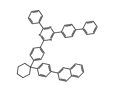 c1ccc(-c2ccc(-c3nc(-c4ccccc4)nc(-c4ccc(C5(c6ccc(-c7ccc8ccccc8c7)cc6)CCCCC5)cc4)n3)cc2)cc1